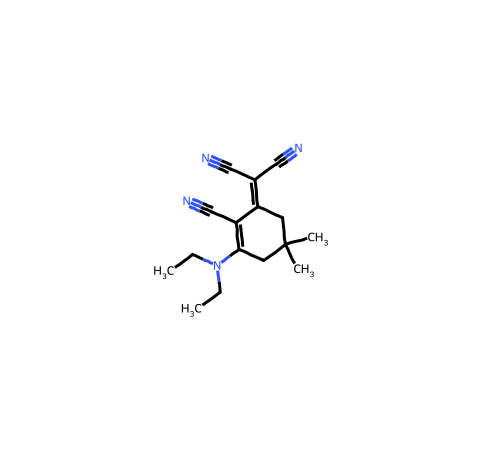 CCN(CC)C1=C(C#N)C(=C(C#N)C#N)CC(C)(C)C1